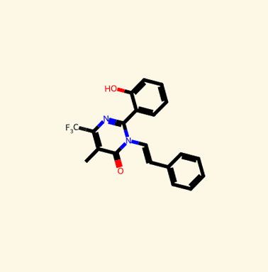 Cc1c(C(F)(F)F)nc(-c2ccccc2O)n(C=Cc2ccccc2)c1=O